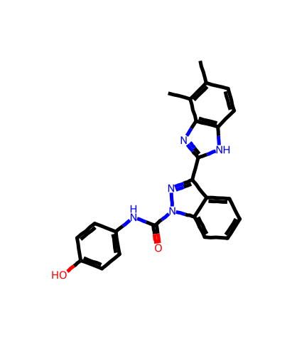 Cc1ccc2[nH]c(-c3nn(C(=O)Nc4ccc(O)cc4)c4ccccc34)nc2c1C